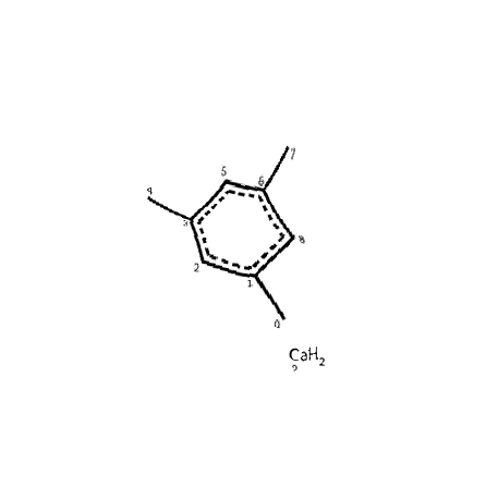 Cc1cc(C)cc(C)c1.[CaH2]